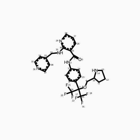 O=C(Nc1ccc(C(OCC2CCCN2)(C(F)(F)F)C(F)(F)F)cc1)c1cccnc1NCc1ccncc1